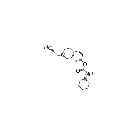 C#CCN1CCc2ccc(OC(=O)NN3CCCCC3)cc2C1